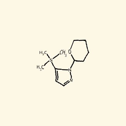 C[Si](C)(C)c1ccnn1C1CCCCO1